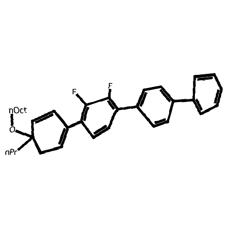 CCCCCCCCOC1(CCC)C=CC(c2ccc(-c3ccc(-c4ccccc4)cc3)c(F)c2F)=CC1